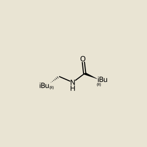 CC[C@@H](C)CNC(=O)[C@H](C)CC